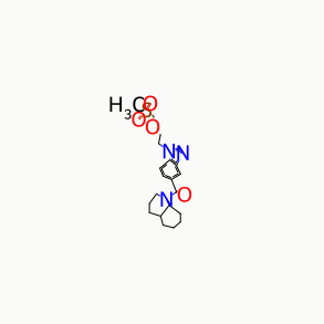 CS(=O)(=O)COCCn1cnc2cc(C(=O)N3CCCC4CCCCC43)ccc21